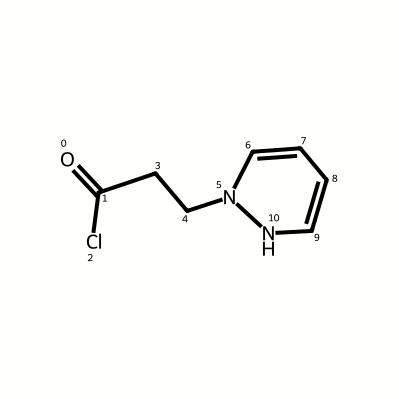 O=C(Cl)CCN1C=CC=CN1